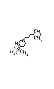 CC(C)CCCN1CCC(C(C)(C)C)CC1